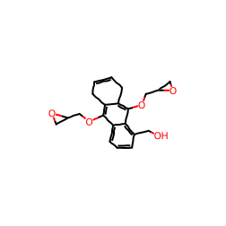 OCc1cccc2c(OCC3CO3)c3c(c(OCC4CO4)c12)CC=CC3